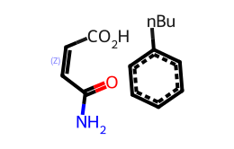 CCCCc1ccccc1.NC(=O)/C=C\C(=O)O